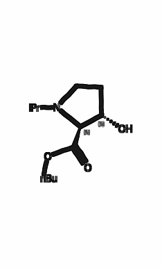 CCCCOC(=O)[C@@H]1[C@@H](O)CCN1C(C)C